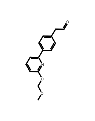 COCOc1cccc(-c2ccc(CC=O)cc2)n1